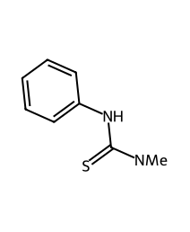 CNC(=S)Nc1ccccc1